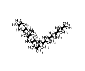 C=C(C)C(=O)O.CC(O)C(C)O.CC(O)C(C)O.CC(O)C(C)O.CC(O)C(C)O.CC(O)C(C)O.CC(O)C(C)O.CC(O)C(C)O.CC(O)C(C)O